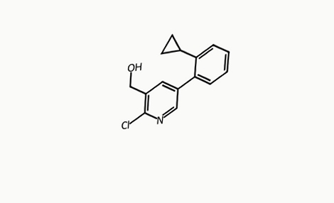 OCc1cc(-c2ccccc2C2CC2)cnc1Cl